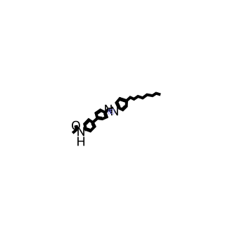 CCCCCCCCc1ccc(/N=N/c2ccc(-c3ccc(NC(C)=O)cc3)cc2)cc1